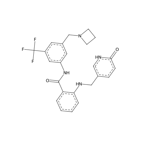 O=C(Nc1cc(CN2CCC2)cc(C(F)(F)F)c1)c1ccccc1NCc1ccc(=O)[nH]c1